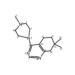 CN1CCN(c2ncnc3c2CCC(C)(C)C3)CC1